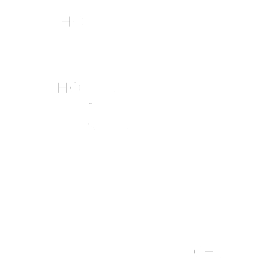 CCCCCCCCCC(CCCO)C(O)=S